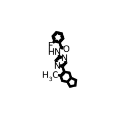 CC1=C(c2cnc(NC(=O)c3ccccc3F)cn2)CC2CCCC2C1